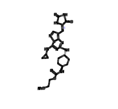 COCCOC(=O)N[C@H]1CC[C@H](Nc2nc(NC3CC3)n3ncc(/C=C4\NC(=O)NC4=O)c3n2)CC1